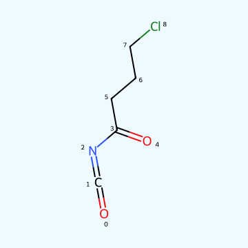 O=C=NC(=O)CCCCl